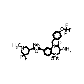 CN1CC(c2nnc(-c3ccc4c(c3)N(Cc3ccc(OC(F)(F)F)cc3)C(=O)[C@@H](N)CS4(=O)=O)o2)CC(F)(F)C1